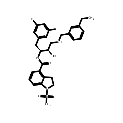 CCc1cccc(CNC[C@@H](O)[C@H](Cc2cc(F)cc(F)c2)NC(=O)c2cccc3c2CCN3S(C)(=O)=O)c1